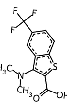 CN(C)c1c(C(=O)O)sc2ccc(C(F)(F)F)cc12